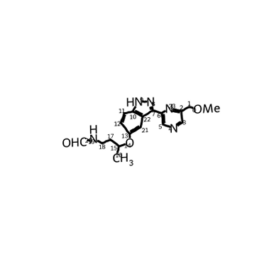 COCc1cncc(-c2n[nH]c3ccc(OC(C)CCNC=O)cc23)n1